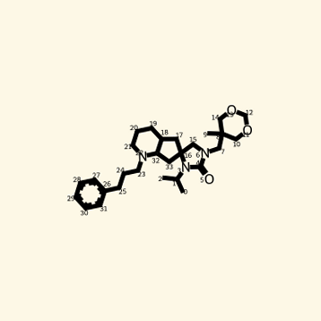 CC(C)N1C(=O)N(CC2(C)COCOC2)CC12CC1CCCN(CCCc3ccccc3)C1C2